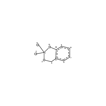 ClC1(Cl)OCc2ccccc2O1